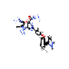 CC(Nc1cc(C(N)=O)nc(-c2ccc(Oc3ccc(C(F)(F)F)cc3-c3ccnn3C)cc2)n1)C(N)=O